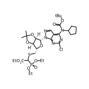 CCOC(=O)C(SC[C@H]1O[C@@H](n2ncc3c(N(C(=O)OC(C)(C)C)C4CCCC4)nc(Cl)nc32)[C@@H]2OC(C)(C)O[C@@H]21)P(=O)(OCC)OCC